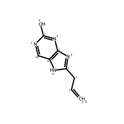 C=CCc1nc2nc(O)ncc2[nH]1